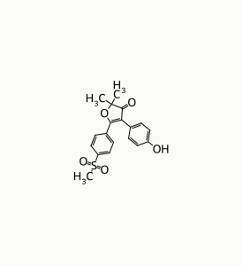 CC1(C)OC(c2ccc(S(C)(=O)=O)cc2)=C(c2ccc(O)cc2)C1=O